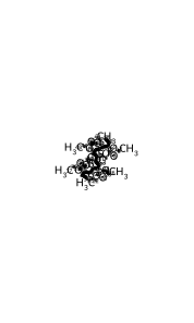 CCOP(=O)(OCC)c1ccsc1-c1sc(-c2cc(P(=O)(OCC)OCC)c(-c3sccc3P(=O)(OCC)OCC)s2)cc1P(=O)(OCC)OCC